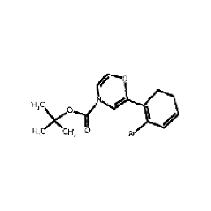 CC(C)(C)OC(=O)N1C=COC(C2=C(Br)C=CCC2)=C1